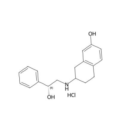 Cl.Oc1ccc2c(c1)CC(NC[C@H](O)c1ccccc1)CC2